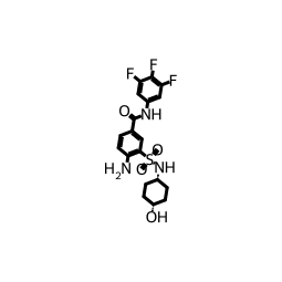 Nc1ccc(C(=O)Nc2cc(F)c(F)c(F)c2)cc1S(=O)(=O)N[C@H]1CC[C@@H](O)CC1